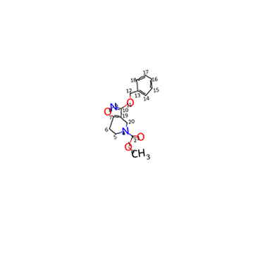 COC(=O)N1CCc2onc(OCc3ccccc3)c2C1